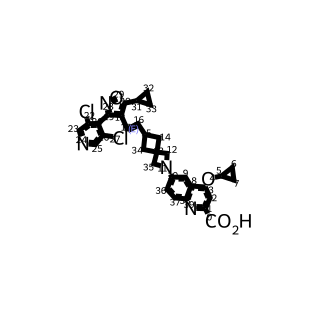 O=C(O)c1cc(OC2CC2)c2cc(N3CC4(CC(/C=C/c5c(-c6c(Cl)cncc6Cl)noc5C5CC5)C4)C3)ccc2n1